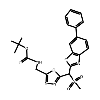 CC(C)(C)OC(=O)NCc1nnc(C(c2nc3ccc(-c4ccccc4)cc3s2)S(C)(=O)=O)o1